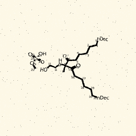 CCCCCCCCCCCCCCCC(=O)C(C)(NCCO)C(=O)CCCCCCCCCCCCCCC.COS(=O)(=O)O